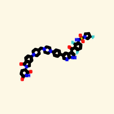 O=C1CC[C@H](N2Cc3cc(N4CCC(CN5CCN(c6ccc(-c7cnc8[nH]cc(C(=O)c9c(F)ccc(NS(=O)(=O)N%10CC[C@@H](F)C%10)c9F)c8c7)cc6)CC5)CC4)ccc3C2=O)C(=O)N1